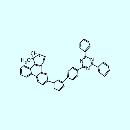 CC1(C)CC=Cc2c1c1ccccc1c1ccc(-c3cccc(-c4ccc(-c5nc(-c6ccccc6)nc(-c6ccccc6)n5)cc4)c3)cc21